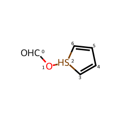 O=CO[SH]1C=CC=C1